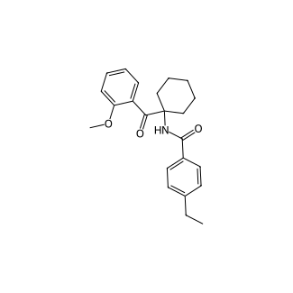 CCc1ccc(C(=O)NC2(C(=O)c3ccccc3OC)CCCCC2)cc1